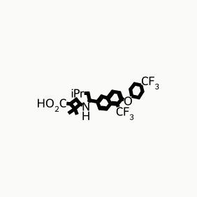 CC(C)CC(NC1CC(C(=O)O)C1(C)C)c1ccc2c(C(F)(F)F)c(OC3CCC(C(F)(F)F)CC3)ccc2c1